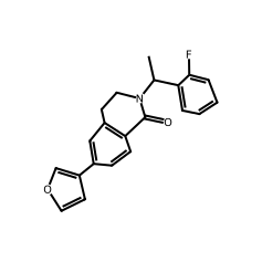 CC(c1ccccc1F)N1CCc2cc(-c3ccoc3)ccc2C1=O